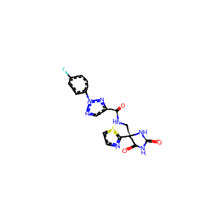 O=C1NC(=O)[C@](CNC(=O)c2cnn(-c3ccc(F)cc3)n2)(c2nccs2)N1